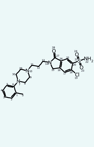 Cc1ccccc1N1CCN(CCCN2Cc3cc(Cl)c(S(N)(=O)=O)cc3C2=O)CC1